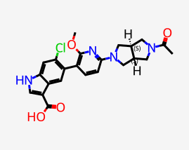 COc1nc(N2C[C@H]3CN(C(C)=O)C[C@@H]3C2)ccc1-c1cc2c(C(=O)O)c[nH]c2cc1Cl